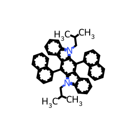 CC(C)Cn1c2ccccc2c2c(-c3cccc4ccccc34)c3c(c(-c4cccc5ccccc45)c21)c1ccccc1n3CC(C)C